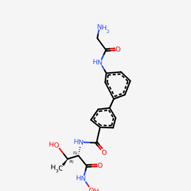 C[C@@H](O)[C@H](NC(=O)c1ccc(-c2cccc(NC(=O)CN)c2)cc1)C(=O)NO